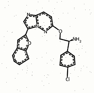 N[C@H](COc1ccc2ncc(-c3cc4ccccc4o3)n2n1)c1ccc(Cl)cc1